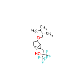 CC(C)[C@H](C)COC1CC2CC(CC(O)(C(F)(F)F)C(F)(F)F)C1C2